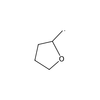 [CH2]C1CCCO1